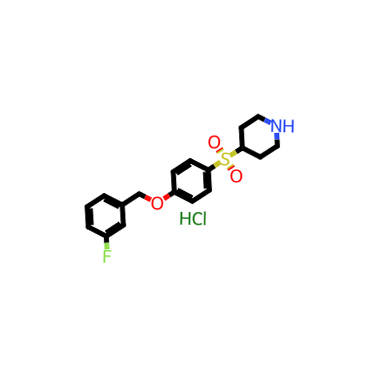 Cl.O=S(=O)(c1ccc(OCc2cccc(F)c2)cc1)C1CCNCC1